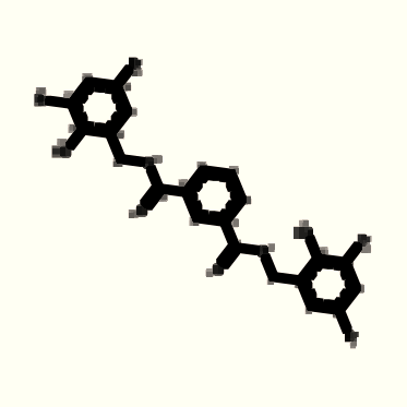 O=C(OCc1cc(Br)cc(Br)c1O)c1cccc(C(=O)OCc2cc(Br)cc(Br)c2O)c1